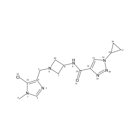 Cn1cnc(CN2CC(NC(=O)c3cn(C4CC4)nn3)C2)c1Cl